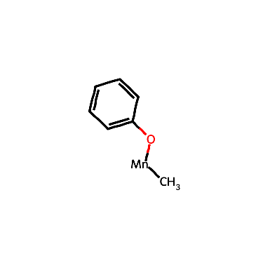 [CH3][Mn][O]c1ccccc1